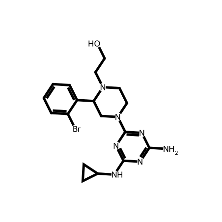 Nc1nc(NC2CC2)nc(N2CCN(CCO)C(c3ccccc3Br)C2)n1